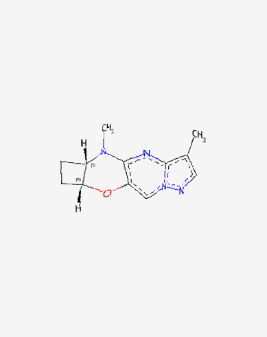 Cc1cnn2cc3c(nc12)N(C)[C@H]1CC[C@H]1O3